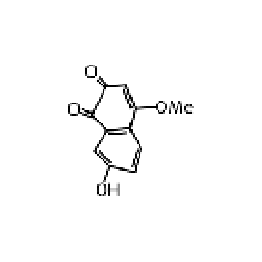 COC1=CC(=O)C(=O)c2cc(O)ccc21